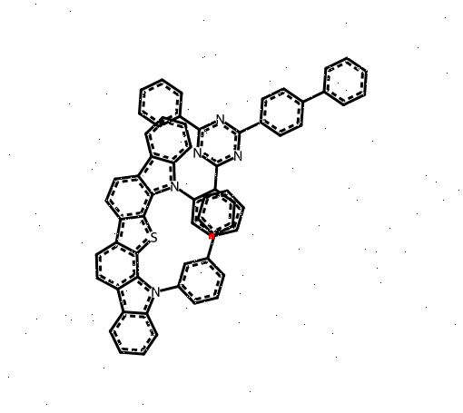 c1ccc(-c2ccc(-c3nc(-c4ccccc4)nc(-c4ccccc4-n4c5ccccc5c5ccc6c7ccc8c9ccccc9n(-c9cccc(-c%10ccccc%10)c9)c8c7sc6c54)n3)cc2)cc1